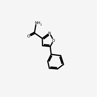 NC(=O)c1cc(-c2ccccc2)on1